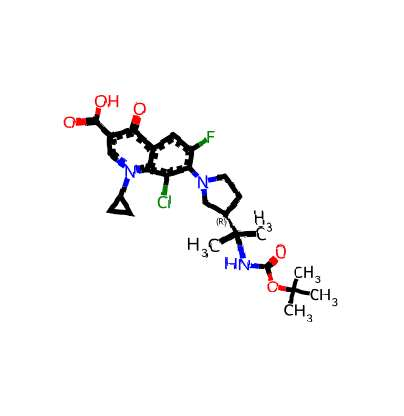 CC(C)(C)OC(=O)NC(C)(C)[C@@H]1CCN(c2c(F)cc3c(=O)c(C(=O)O)cn(C4CC4)c3c2Cl)C1